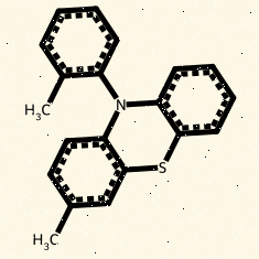 Cc1ccc2c(c1)Sc1ccccc1N2c1ccccc1C